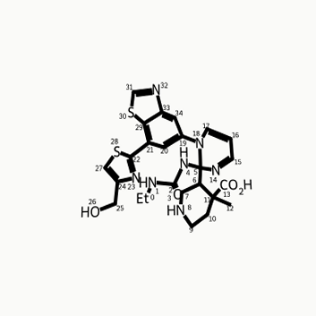 CCNC(=O)NC1(C2CNCCC2(C)C(=O)O)N=CC=CN1c1cc(-c2nc(CO)cs2)c2scnc2c1